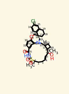 C[C@@H]1CC/C=C/[C@H](O)[C@]2(C)CC[C@H]2CN2C[C@@]3(CCCc4cc(Cl)ccc43)COc3ccc(cc32)C(=O)NS1(=O)=O